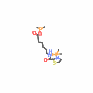 CP(C)OC(=O)CCCCCNC(=O)C1SCCN1[PH](C)(C)C